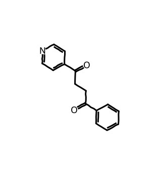 O=C(CCC(=O)c1ccncc1)c1ccccc1